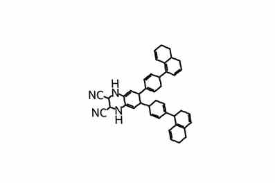 N#CC1NC2=CC(C3=CCC(C4=C5C=CCCC5CC=C4)C=C3)C(C3C=CC(C4CC=CC5=C4C=CCC5)=CC3)C=C2NC1C#N